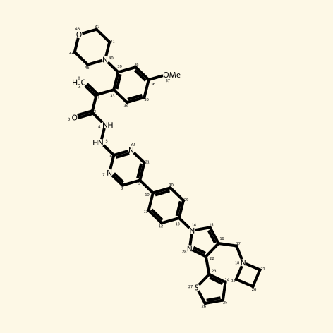 C=C(C(=O)NNc1ncc(-c2ccc(-n3cc(CN4CCC4)c(-c4cccs4)n3)cc2)cn1)c1ccc(OC)cc1N1CCOCC1